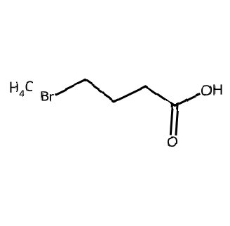 C.O=C(O)CCCBr